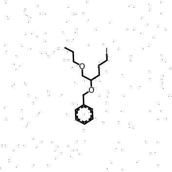 CCCOCC(CCCI)OCc1ccccc1